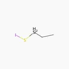 CC[SiH2]SI